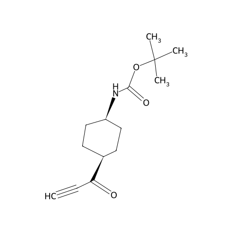 C#CC(=O)[C@H]1CC[C@@H](NC(=O)OC(C)(C)C)CC1